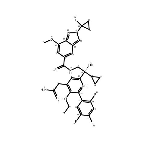 CCOc1c(CC(N)=O)cc([C@@](O)(CNC(=O)c2cc(OC)c3nn(C4(F)CC4)cc3c2)C2CC2)nc1-c1cc(F)c(F)cc1F